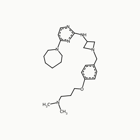 CN(C)CCCOc1ccc(CN2CC(Nc3nccc(N4CCCCCC4)n3)C2)cc1